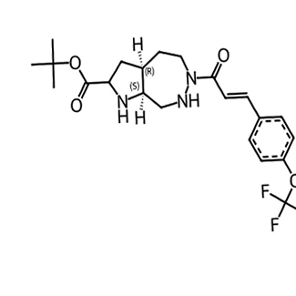 CC(C)(C)OC(=O)C1C[C@H]2CCN(C(=O)C=Cc3ccc(OC(F)(F)F)cc3)NC[C@H]2N1